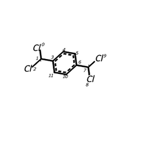 Cl[C](Cl)c1ccc([C](Cl)Cl)cc1